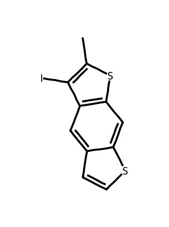 Cc1sc2cc3sccc3cc2c1I